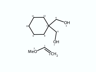 C=COC.OCC1(CO)CCCCC1